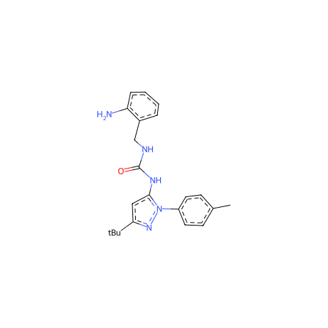 Cc1ccc(-n2nc(C(C)(C)C)cc2NC(=O)NCc2ccccc2N)cc1